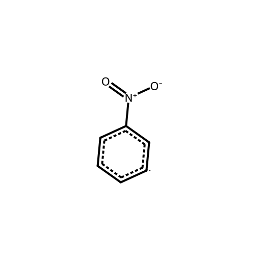 O=[N+]([O-])c1c[c]ccc1